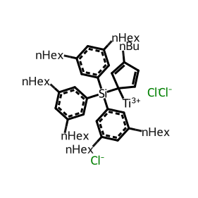 CCCCCCc1cc(CCCCCC)cc([Si](c2cc(CCCCCC)cc(CCCCCC)c2)(c2cc(CCCCCC)cc(CCCCCC)c2)[C]2([Ti+3])C=CC(CCCC)=C2)c1.[Cl-].[Cl-].[Cl-]